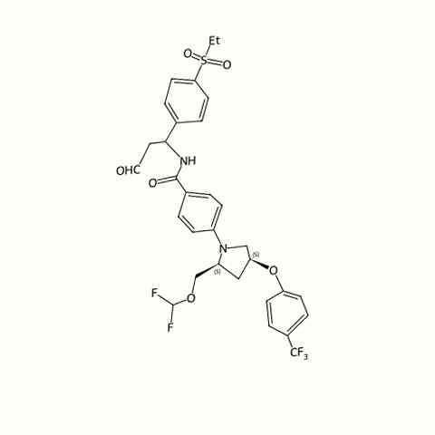 CCS(=O)(=O)c1ccc(C(CC=O)NC(=O)c2ccc(N3C[C@@H](Oc4ccc(C(F)(F)F)cc4)C[C@H]3COC(F)F)cc2)cc1